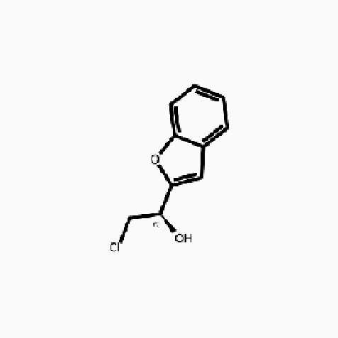 O[C@@H](CCl)c1cc2ccccc2o1